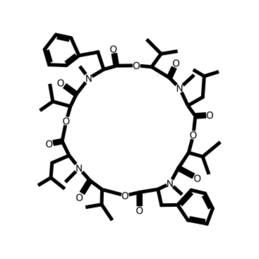 CC(C)CC1C(=O)OC(C(C)C)C(=O)N(C)C(Cc2ccccc2)C(=O)OC(C(C)C)C(=O)N(C)C(CC(C)C)C(=O)OC(C(C)C)C(=O)N(C)C(Cc2ccccc2)C(=O)OC(C(C)C)C(=O)N1C